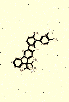 Cc1cnc(-c2c(C)ccc3c2oc2cc4c(cc23)-c2ccccc2C4(C(C)C)C(C)C)cc1C